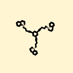 C(#Cc1cc(C#CCCC[n+]2cccc3ccccc32)cc(C#CCCC[n+]2cccc3ccccc32)c1)CCC[n+]1cccc2ccccc21